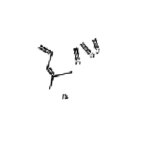 C=CC=C(C)C.C=O.C=O.C=O.[Ru]